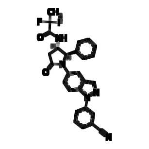 CC(F)(F)C(=O)N[C@H]1CC(=O)N(c2ccc3c(cnn3-c3cccc(C#N)c3)c2)[C@@H]1c1ccccc1